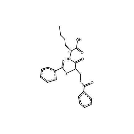 CCCC[C@H](NC(=O)C(CSC(=O)c1ccccc1)SC(=O)c1ccccc1)C(=O)O